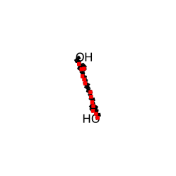 CC1=C(/C=C/C(C)=C/C=C/C(C)=C/C=C/C=C(C)/C=C/C=C(C)/C=C/C2=C(C)CCC(C/C=C(\C)CO)C2(C)C)C(C)(C)C(C/C=C(\C)CO)CC1